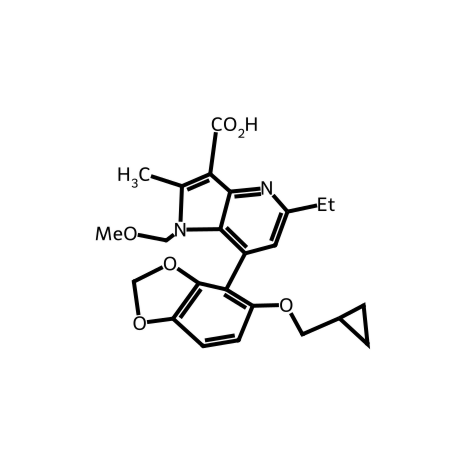 CCc1cc(-c2c(OCC3CC3)ccc3c2OCO3)c2c(n1)c(C(=O)O)c(C)n2COC